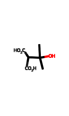 CC(C)(O)C(C(=O)O)C(=O)O